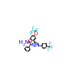 NC(=O)C(N[C@H](CCc1ccc(C(F)(F)F)cc1)c1ccc(F)c(OC(F)(F)F)c1)c1ccccc1